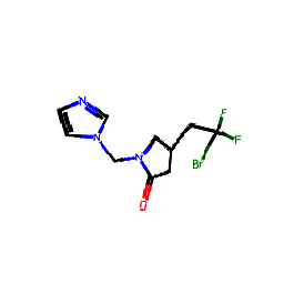 O=C1CC(CC(F)(F)Br)CN1Cn1ccnc1